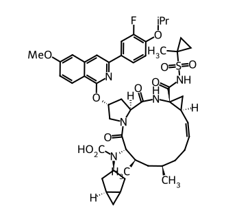 COc1ccc2c(O[C@@H]3C[C@H]4C(=O)N[C@]5(C(=O)NS(=O)(=O)C6(C)CC6)C[C@H]5/C=C\CC[C@@H](C)C[C@@H](C)[C@H](N(C(=O)O)[C@H]5CC6C[C@H]6C5)C(=O)N4C3)nc(-c3ccc(OC(C)C)c(F)c3)cc2c1